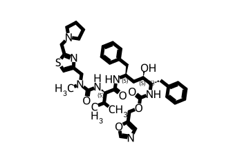 CC(C)[C@H](NC(=O)N(C)Cc1csc(CN2CCCC2)n1)C(=O)N[C@@H](Cc1ccccc1)C[C@H](O)[C@H](Cc1ccccc1)NC(=O)OCc1cnco1